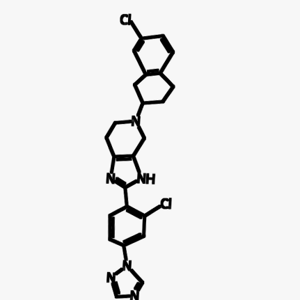 Clc1ccc2c(c1)CC(N1CCc3nc(-c4ccc(-n5cncn5)cc4Cl)[nH]c3C1)CC2